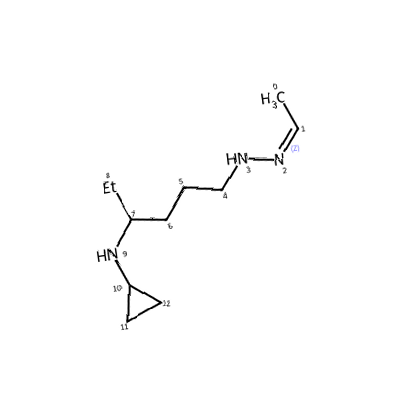 C/C=N\NCCCC(CC)NC1CC1